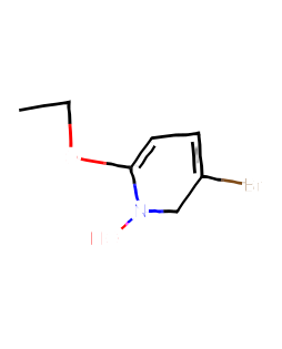 CCOC1=CC=C(Br)CN1O